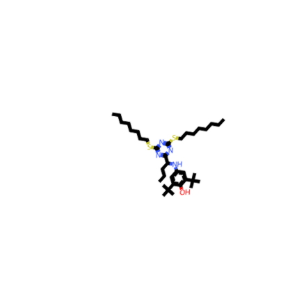 CCCCCCCCSc1nc(SCCCCCCCC)nc(C(CCC)Nc2cc(C(C)(C)C)c(O)c(C(C)(C)C)c2)n1